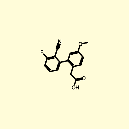 COc1ccc(CC(=O)O)c(-c2cccc(F)c2C#N)c1